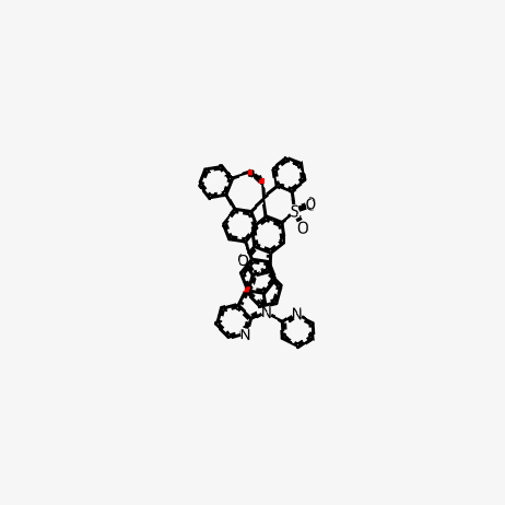 O=S1(=O)c2ccccc2C2(c3ccccc3-c3ccccc3-c3ccc(-c4ccc5c(c4)c4cccnc4n5-c4ccccn4)cc32)c2cc3oc4ccccc4c3cc21